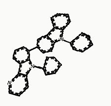 c1ccc(-n2c3ccccc3c3cc(-c4cccc5c6ncccc6n(-c6ccccc6)c45)ccc32)cc1